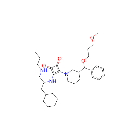 CCCNCC(CC1CCCCC1)Nc1c(N2CCCC(C(OCCCOC)c3ccccc3)C2)c(=O)c1=O